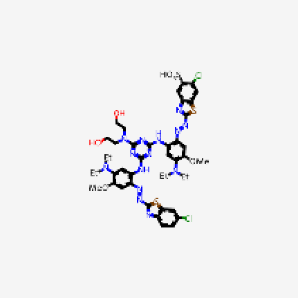 CCN(CC)c1cc(Nc2nc(Nc3cc(N(CC)CC)c(OC)cc3/N=N/c3nc4cc(S(=O)(=O)O)c(Cl)cc4s3)nc(N(CCO)CCO)n2)c(/N=N/c2nc3ccc(Cl)cc3s2)cc1OC